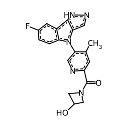 Cc1cc(C(=O)N2CC(O)C2)ncc1-n1c2ccc(F)cc2c2[nH]ncc21